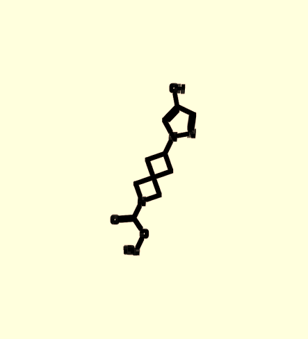 CC(C)(C)OC(=O)N1CC2(CC(n3cc(O)cn3)C2)C1